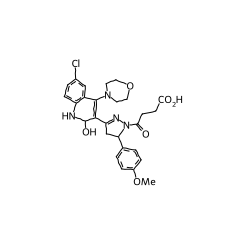 COc1ccc(C2CC(C3=C(N4CCOCC4)c4cc(Cl)ccc4NC3O)=NN2C(=O)CCC(=O)O)cc1